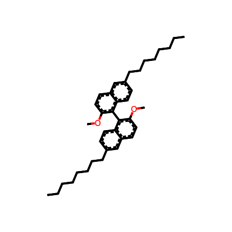 CCCCCCCCc1ccc2c(-c3c(OC)ccc4cc(CCCCCCCC)ccc34)c(OC)ccc2c1